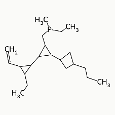 C=CC1C(CC)C1C1C(CP(C)CC)C1C1CC(CCC)C1